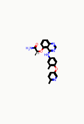 Cc1ccc(Oc2ccc(Nc3ncnc4cccc(O[C@@H](C)C(N)=O)c34)cc2C)cn1